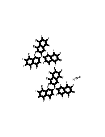 Fc1c(F)c(F)c2c(F)[c]([Al]([c]3c(F)c(F)c4c(F)c(F)c(F)c(F)c4c3F)[c]3c(F)c(F)c4c(F)c(F)c(F)c(F)c4c3F)c(F)c(F)c2c1F.Fc1c(F)c(F)c2c(F)[c]([Al]([c]3c(F)c(F)c4c(F)c(F)c(F)c(F)c4c3F)[c]3c(F)c(F)c4c(F)c(F)c(F)c(F)c4c3F)c(F)c(F)c2c1F.[N-]=[N+]=[N-]